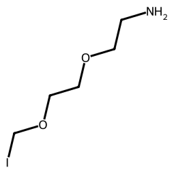 NCCOCCOCI